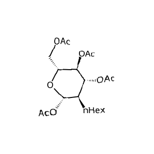 CCCCCC[C@H]1[C@H](OC(C)=O)O[C@H](COC(C)=O)[C@@H](OC(C)=O)[C@@H]1OC(C)=O